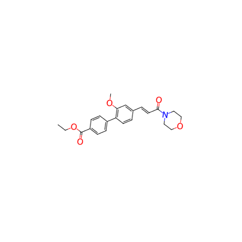 CCOC(=O)c1ccc(-c2ccc(C=CC(=O)N3CCOCC3)cc2OC)cc1